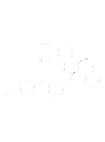 Cc1ccc(Oc2cccc(CN(C(=O)c3c(C(=O)O)ccc(C(=O)O)c3C(=O)O)[C@H]3CCCc4ccccc43)c2)cc1